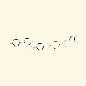 Cc1cc(CN(C)C2CCN(S(=O)(=O)c3ccc(Nc4nccc(-c5ccc(F)cc5)n4)cc3)CC2)sc1C